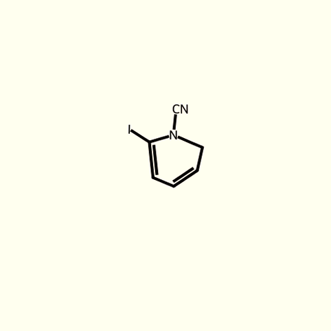 N#CN1CC=CC=C1I